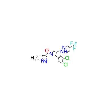 Cc1cc(C(=O)N2CC(CNc3ccc(C(F)(F)F)cn3)C(c3ccc(Cl)c(Cl)c3)C2)cnn1